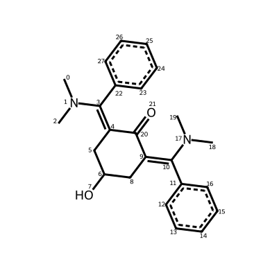 CN(C)C(=C1CC(O)CC(=C(c2ccccc2)N(C)C)C1=O)c1ccccc1